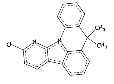 CC1(C)c2ccccc2-n2c3nc(Cl)ccc3c3cccc1c32